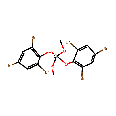 CO[Si](OC)(Oc1c(Br)cc(Br)cc1Br)Oc1c(Br)cc(Br)cc1Br